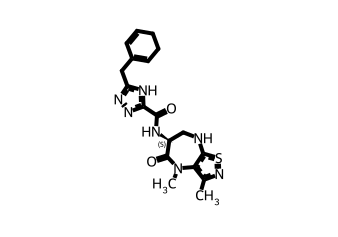 Cc1nsc2c1N(C)C(=O)[C@@H](NC(=O)c1nnc(CC3=CCCC=C3)[nH]1)CN2